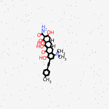 Cc1ccc(C#Cc2cc(N(C)C)c3c(c2O)C(=O)C2=C(O)[C@]4(O)C(=O)C(C(N)=O)=C(O)C[C@@H]4C[C@@H]2C3)cc1